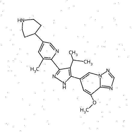 COc1cc(-c2[nH]nc(-c3ncc(C4CCNCC4)cc3C)c2C(C)C)cn2ncnc12